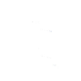 CC(CSCC(N)C(=O)O)C(N)=O